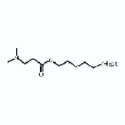 CCCCCCCCCCCCOC(=O)CCN(C)C